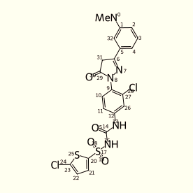 CNc1cccc(C2=NN(c3ccc(NC(=O)NS(=O)(=O)c4ccc(Cl)s4)cc3Cl)C(=O)C2)c1